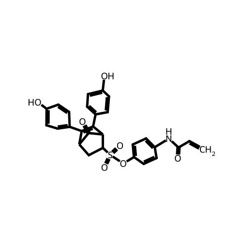 C=CC(=O)Nc1ccc(OS(=O)(=O)C2CC3C(=O)C2C(c2ccc(O)cc2)=C3c2ccc(O)cc2)cc1